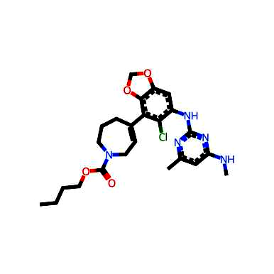 CCCCOC(=O)N1CC=C(c2c(Cl)c(Nc3nc(C)cc(NC)n3)cc3c2OCO3)CCC1